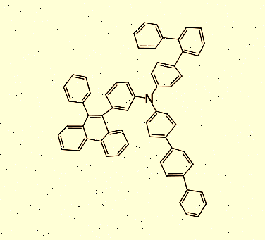 c1ccc(-c2ccc(-c3ccc(N(c4ccc(-c5ccccc5-c5ccccc5)cc4)c4cccc(-c5c(-c6ccccc6)c6ccccc6c6ccccc56)c4)cc3)cc2)cc1